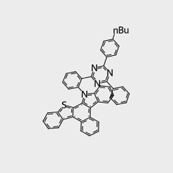 CCCCc1ccc(-c2nc(-c3ccccc3)nc(-c3ccccc3-n3c4ccccc4c4c5ccccc5c5c6ccccc6sc5c43)n2)cc1